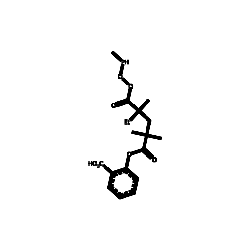 CCC(C)(CC(C)(C)C(=O)Oc1ccccc1C(=O)O)C(=O)OOPC